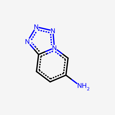 Nc1ccc2nnnn2c1